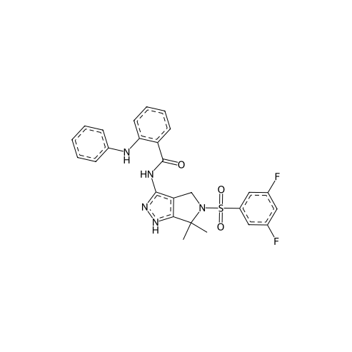 CC1(C)c2[nH]nc(NC(=O)c3ccccc3Nc3ccccc3)c2CN1S(=O)(=O)c1cc(F)cc(F)c1